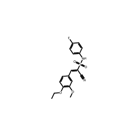 CCOc1ccc(/C=C(\C#N)S(=O)(=O)Nc2ccc(F)cc2)cc1OC